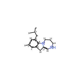 Cc1cc2c(c(CC(C)C)c1)N1CCCNC=C1C2